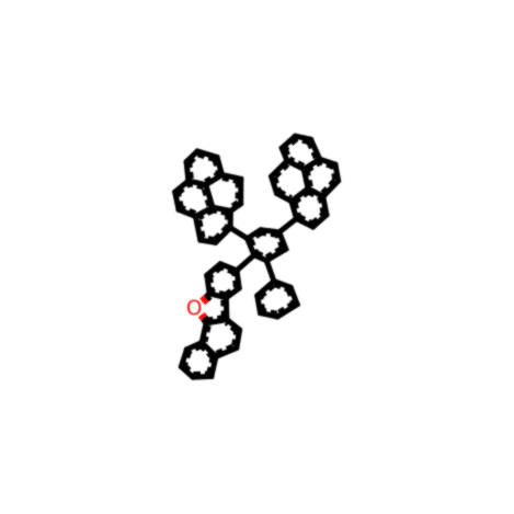 c1ccc(-c2cc(-c3ccc4ccc5cccc6ccc3c4c56)cc(-c3ccc4ccc5cccc6ccc3c4c56)c2-c2ccc3oc4c5ccccc5ccc4c3c2)cc1